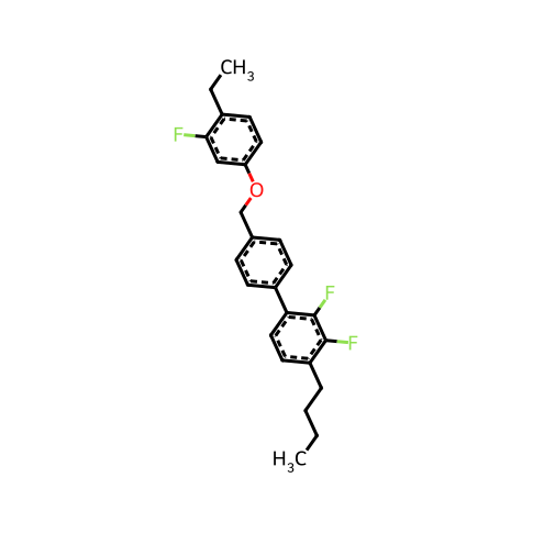 CCCCc1ccc(-c2ccc(COc3ccc(CC)c(F)c3)cc2)c(F)c1F